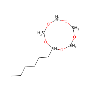 CCCCCC[SiH]1O[SiH2]O[SiH2]O[SiH2]O[SiH2]O1